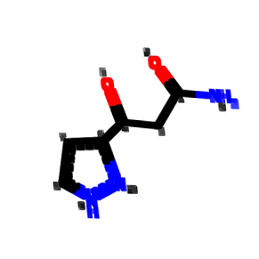 NC(=O)CC(=O)c1cc[nH]n1